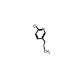 [CH2]SCc1ccc(Cl)nc1